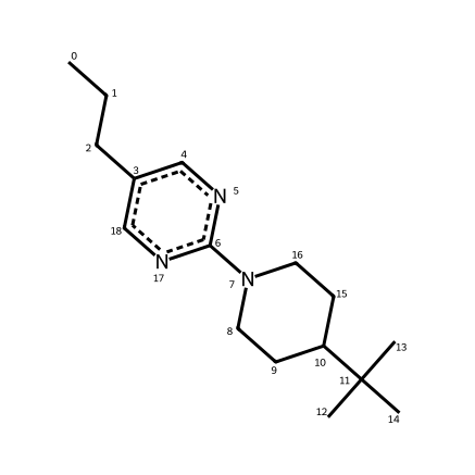 CCCc1cnc(N2CCC(C(C)(C)C)CC2)nc1